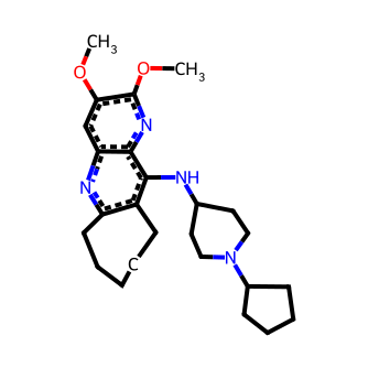 COc1cc2nc3c(c(NC4CCN(C5CCCC5)CC4)c2nc1OC)CCCCC3